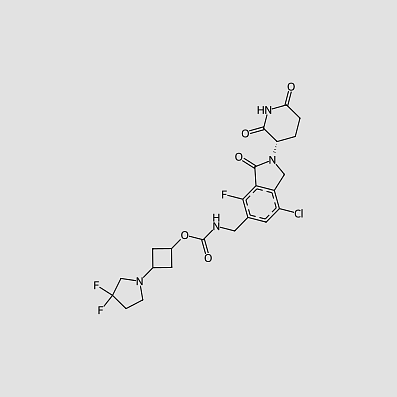 O=C1CC[C@H](N2Cc3c(Cl)cc(CNC(=O)OC4CC(N5CCC(F)(F)C5)C4)c(F)c3C2=O)C(=O)N1